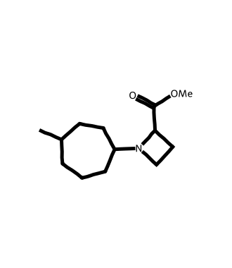 COC(=O)C1CCN1C1CCCC(C)CC1